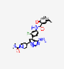 C/C=C\C=C(/C(=O)CCCC)C(=O)Nc1ccc(-c2cc(C3CCN(C(=O)N(C)C)CC3)n3ncnc(N)c23)c(F)c1